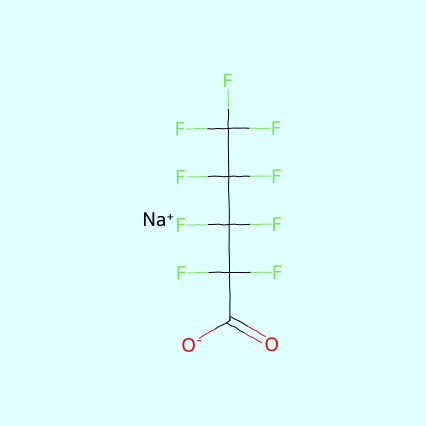 O=C([O-])C(F)(F)C(F)(F)C(F)(F)C(F)(F)F.[Na+]